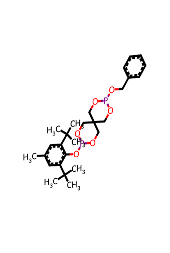 Cc1cc(C(C)(C)C)c(OP2OCC3(COP(OCc4ccccc4)OC3)CO2)c(C(C)(C)C)c1